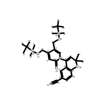 CC1(C)C=C(n2cc(CO[Si](C)(C)C(C)(C)C)c(CO[Si](C)(C)C(C)(C)C)cc2=O)c2cc(C#N)ccc2O1